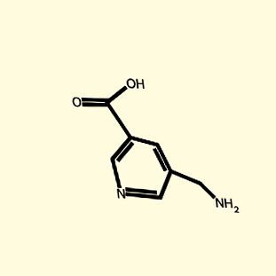 NCc1cncc(C(=O)O)c1